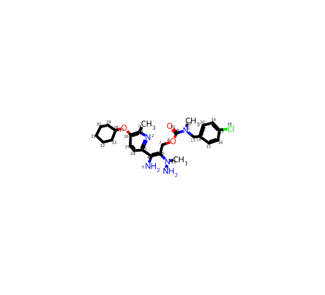 Cc1nc(/C(N)=C(\COC(=O)N(C)Cc2ccc(Cl)cc2)N(C)N)ccc1OC1CCCCC1